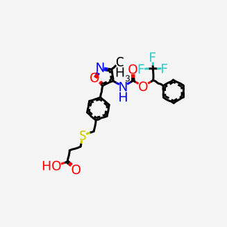 Cc1noc(-c2ccc(CSCCC(=O)O)cc2)c1NC(=O)OC(c1ccccc1)C(F)(F)F